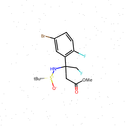 COC(=O)CC(CF)(N[S@+]([O-])C(C)(C)C)c1cc(Br)ccc1F